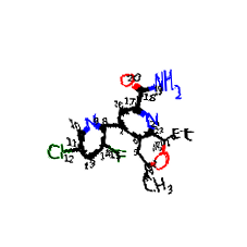 CC[C@H]1O[C@@H](C)Cc2c(-c3ncc(Cl)cc3F)cc(C(N)=O)nc21